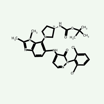 Cc1nc2ccc(Nc3ccnn(-c4c(Cl)cccc4Cl)c3=O)c(N3CC[C@H](NC(=O)OC(C)(C)C)C3)c2n1C